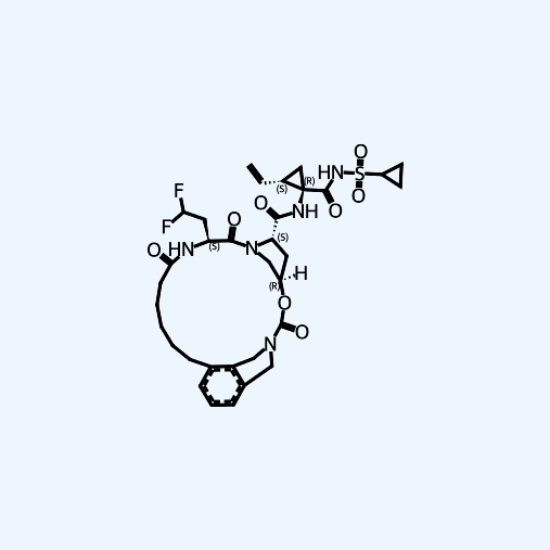 C=C[C@@H]1C[C@]1(NC(=O)[C@@H]1C[C@@H]2CN1C(=O)[C@H](CC(F)F)NC(=O)CCCCCc1cccc3c1CN(C3)C(=O)O2)C(=O)NS(=O)(=O)C1CC1